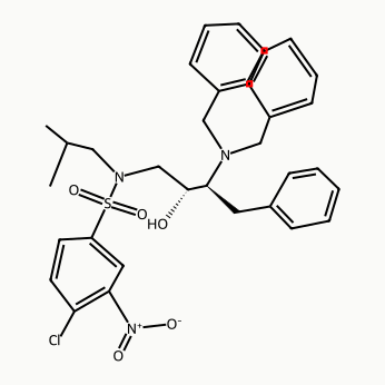 CC(C)CN(C[C@@H](O)[C@H](Cc1ccccc1)N(Cc1ccccc1)Cc1ccccc1)S(=O)(=O)c1ccc(Cl)c([N+](=O)[O-])c1